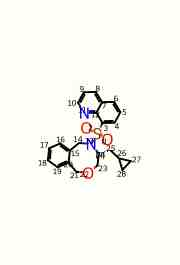 O=S(=O)(c1cccc2cccnc12)N1Cc2ccccc2COC[C@H]1CC1CC1